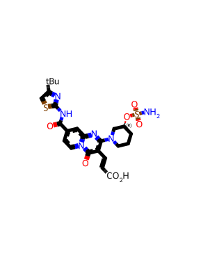 CC(C)(C)c1csc(NC(=O)c2ccn3c(=O)c(C=CC(=O)O)c(N4CCC[C@@H](OS(N)(=O)=O)C4)nc3c2)n1